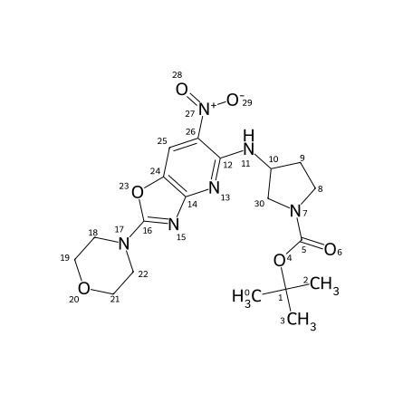 CC(C)(C)OC(=O)N1CCC(Nc2nc3nc(N4CCOCC4)oc3cc2[N+](=O)[O-])C1